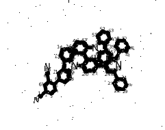 N#Cc1ccc(-c2ccc3c(c2)c2ccccc2n3-c2ccc(-c3cc(-c4ccccc4)nc(-c4ccccc4)n3)cc2-c2ccccc2-n2c3ccccc3c3ccccc32)c(C#N)c1